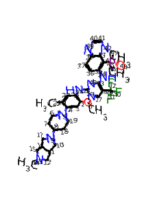 COc1cc(N2CCC(N3CC4CN(C)CC4C3)CC2)c(C)cc1Nc1ncc(C(F)(F)F)c(Nc2ccc3nccnc3c2P(C)(C)=O)n1